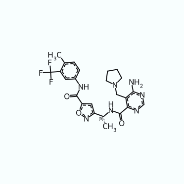 Cc1ccc(NC(=O)c2cc([C@@H](C)NC(=O)c3ncnc(N)c3CN3CCCC3)no2)cc1C(F)(F)F